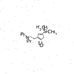 CC(C)N(CCC1=CCC([SiH](C)C)=C1)C(C)C.[Li].[Li]